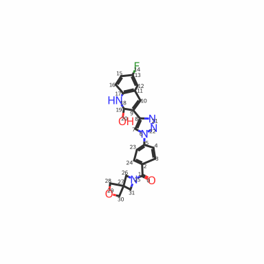 O=C(c1ccc(-n2cc(C3=Cc4cc(F)ccc4NC3O)nn2)cc1)N1CC2(COC2)C1